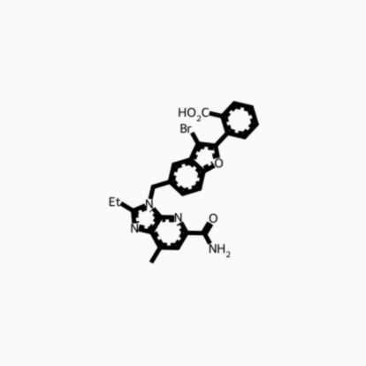 CCc1nc2c(C)cc(C(N)=O)nc2n1Cc1ccc2oc(-c3ccccc3C(=O)O)c(Br)c2c1